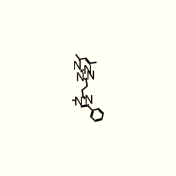 Cc1cc(C)n2nc(CCc3nc(-c4ccccc4)cn3C)nc2n1